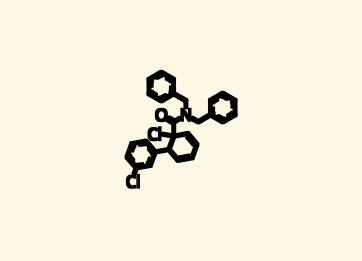 O=C(N(Cc1ccccc1)Cc1ccccc1)C1(Cl)C=CC=CC1c1cccc(Cl)c1